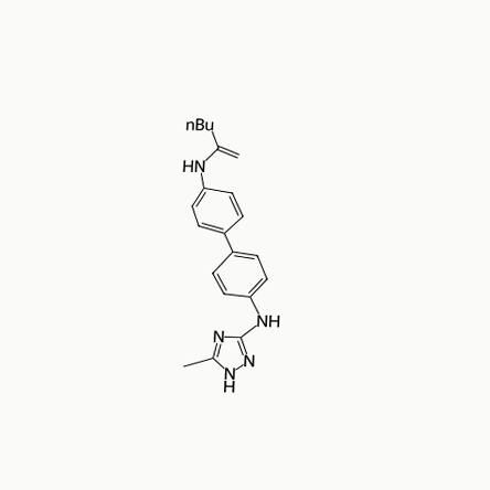 C=C(CCCC)Nc1ccc(-c2ccc(Nc3n[nH]c(C)n3)cc2)cc1